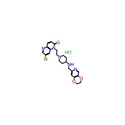 Cl.O=c1ccc2ncc(Br)cc2n1CCN1CCC(NCc2cc3c(cn2)OCCO3)CC1